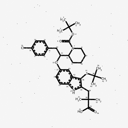 CC(C)(C)OC(=O)N1CCCCC1C(Cc1ccc(Cl)cc1)Oc1ccc2[nH]c(CC(C)(C)C(=O)O)c(SC(C)(C)C)c2c1